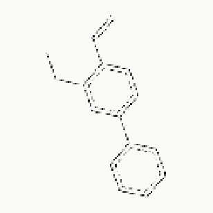 C=Cc1ccc(-c2ccccc2)cc1CC